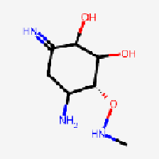 CNO[C@@H]1C(N)CC(=N)C(O)C1O